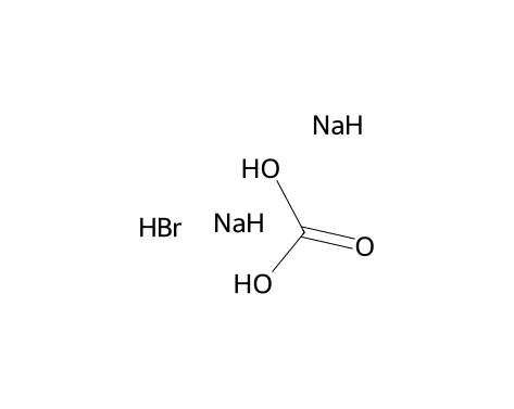 Br.O=C(O)O.[NaH].[NaH]